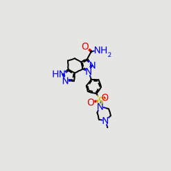 CN1CCN(S(=O)(=O)c2ccc(-n3nc(C(N)=O)c4c3-c3cn[nH]c3CC4)cc2)CC1